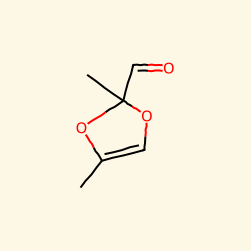 CC1=COC(C)(C=O)O1